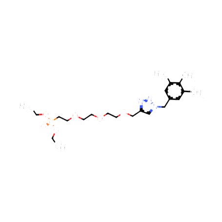 CCOP(=O)(CCOCCOCCOCc1cn(Cc2cc(C)c(C)c(C)c2)nn1)OCC